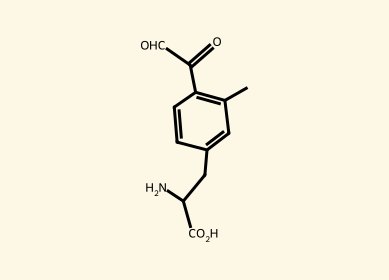 Cc1cc(CC(N)C(=O)O)ccc1C(=O)C=O